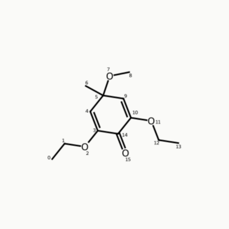 CCOC1=CC(C)(OC)C=C(OCC)C1=O